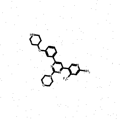 Nc1cc(C(F)(F)F)c(-c2cc(-c3cccc(OC4CCNCC4)c3)nc(N3CCOCC3)n2)cn1